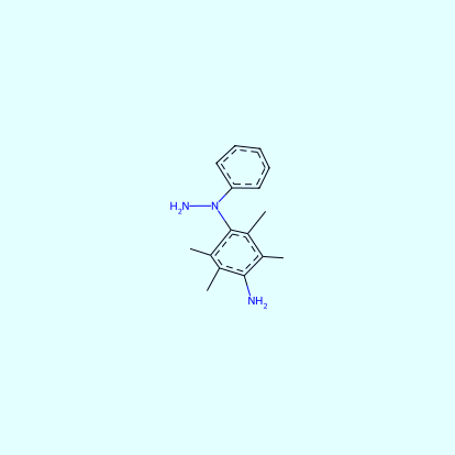 Cc1c(C)c(N(N)c2ccccc2)c(C)c(C)c1N